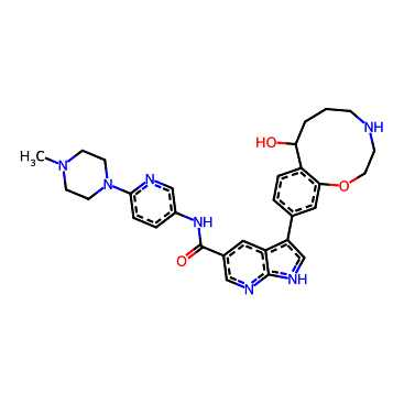 CN1CCN(c2ccc(NC(=O)c3cnc4[nH]cc(-c5ccc6c(c5)OCCNCCCC6O)c4c3)cn2)CC1